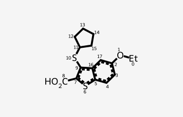 CCOc1ccc2sc(C(=O)O)c(SC3CCCC3)c2c1